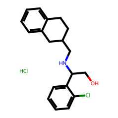 Cl.OCC(NCC1CCc2ccccc2C1)c1ccccc1Cl